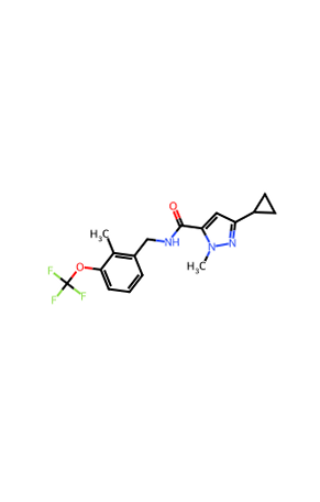 Cc1c(CNC(=O)c2cc(C3CC3)nn2C)cccc1OC(F)(F)F